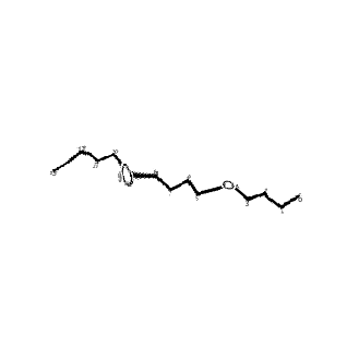 CCCCO[CH]CCCOCCCC